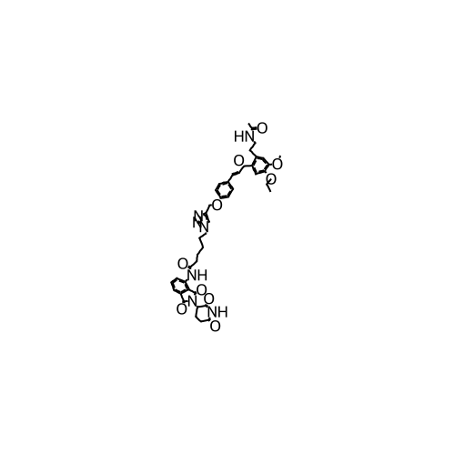 CCOc1cc(C(=O)/C=C/c2ccc(OCc3cn(CCCCCC(=O)Nc4cccc5c4C(=O)N(C4CCC(=O)NC4=O)C5=O)nn3)cc2)c(CCNC(C)=O)cc1OC